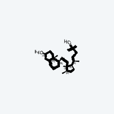 C[C@H](CCC(C)(C)O)[C@H]1CC[C@@H](C)[C@]1(C)CC[C@H]1CCC=C2C[C@@H](O)CC[C@@]21C